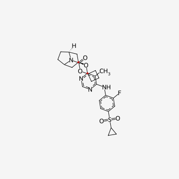 Cc1c(Nc2ccc(S(=O)(=O)C3CC3)cc2F)ncnc1O[C@H]1CC2CC[C@@H](C1)N2C(=O)OC1CCC1